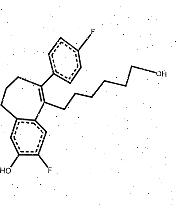 OCCCCCCC1=C(c2ccc(F)cc2)CCCc2cc(O)c(F)cc21